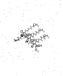 CCCCCCCC(C(=O)[O-])C(C)S.CCCCCCCC(C(=O)[O-])C(C)S.CCCCCCCC(C(=O)[O-])C(C)S.CCC[CH2][Sn+3]